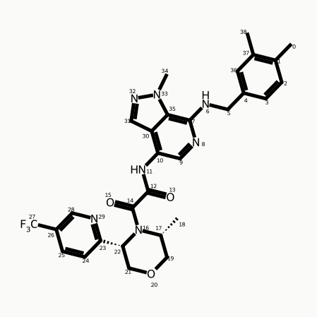 Cc1ccc(CNc2ncc(NC(=O)C(=O)N3[C@H](C)COC[C@@H]3c3ccc(C(F)(F)F)cn3)c3cnn(C)c23)cc1C